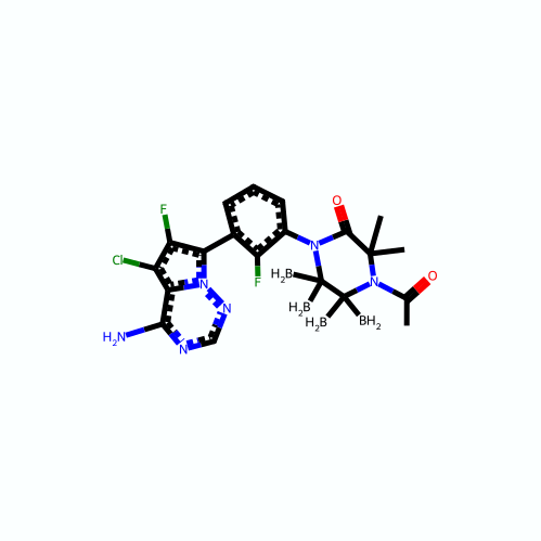 BC1(B)N(c2cccc(-c3c(F)c(Cl)c4c(N)ncnn34)c2F)C(=O)C(C)(C)N(C(C)=O)C1(B)B